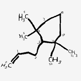 C=CCC1C(C)(C)CCCC1(C)C